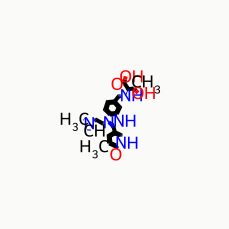 Cc1cc(C2Nc3cc(CN[C@H](C(=O)O)C(C)O)ccc3N2CCN(C)C)c[nH]c1=O